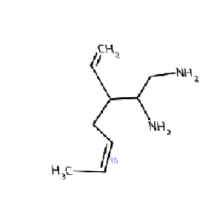 C=CC(C/C=C\C)C(N)CN